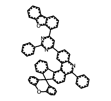 c1ccc(-c2nc(-c3ccc4nc(-c5ccccc5)c5ccc6c(c5c4c3)-c3ccccc3C63c4ccccc4Oc4ccccc43)cc(-c3cccc4c3oc3ccccc34)n2)cc1